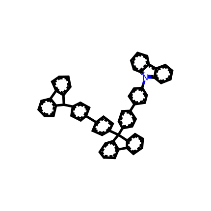 c1ccc2c(c1)-c1ccccc1C2c1ccc(-c2ccc(C3(c4ccc(-c5ccc(-n6c7ccccc7c7ccccc76)cc5)cc4)c4ccccc4-c4ccccc43)cc2)cc1